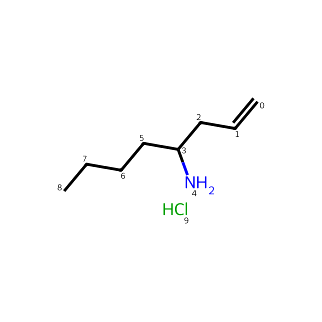 C=CCC(N)CCCC.Cl